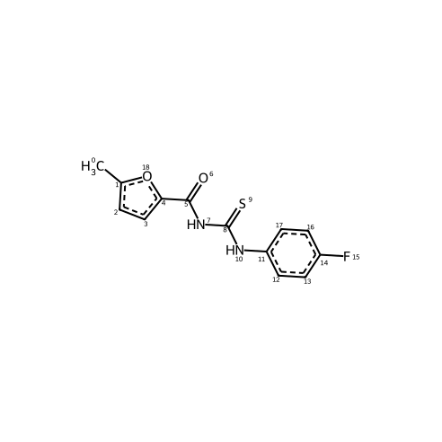 Cc1ccc(C(=O)NC(=S)Nc2ccc(F)cc2)o1